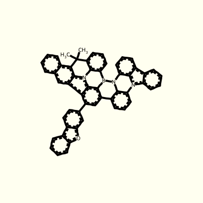 CC1(C)c2cccc3c2-n2c4c1c1ccccc1cc4c1c(-c4ccc5c(c4)oc4ccccc45)cc4c(c12)B3N1c2c-4cccc2-n2c3ccccc3c3cccc1c32